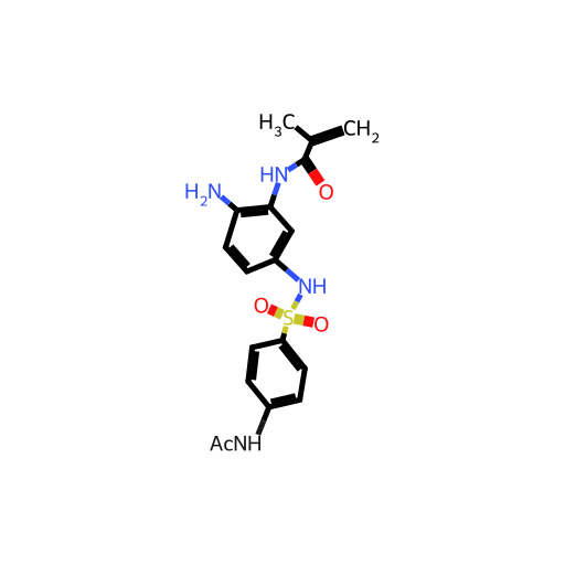 C=C(C)C(=O)Nc1cc(NS(=O)(=O)c2ccc(NC(C)=O)cc2)ccc1N